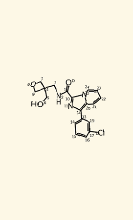 O=C(NCC1(CO)COC1)c1nc(-c2cccc(Cl)c2)c2ccccn12